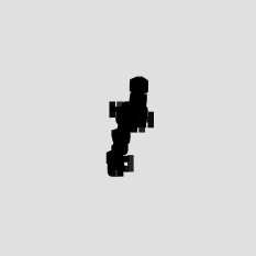 O=C(NCc1ccc(OCc2ccc(Cl)c(Cl)c2)cc1)[C@H](O)[C@@H](O)C(=O)N1CCN(c2ccccc2)CC1